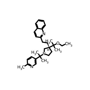 CCOC(C)(C)[C@]1(CCc2ccc3ccccc3n2)CCN(C(C)(C)c2ccc(C)nc2)C1